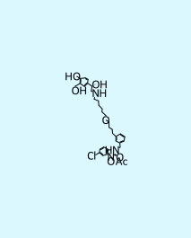 CC(=O)ON(C(=O)NCc1cccc(CCCCOCCCCCCNC[C@@H](O)c2ccc(O)c(CO)c2)c1)c1cccc(Cl)c1